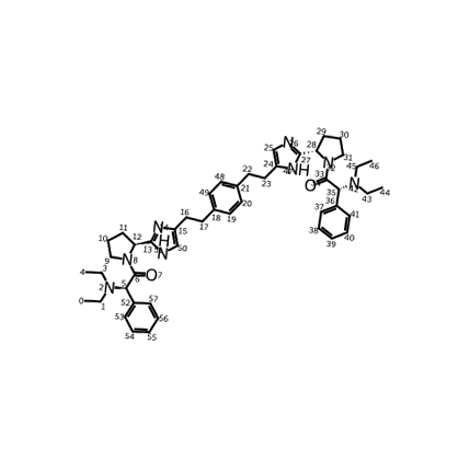 CCN(CC)[C@@H](C(=O)N1CCC[C@H]1c1nc(CCc2ccc(CCc3cnc([C@@H]4CCCN4C(=O)[C@@H](c4ccccc4)N(CC)CC)[nH]3)cc2)c[nH]1)c1ccccc1